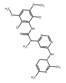 COc1cc(OC)c(Cl)c(NC(=O)N(C)c2cc(NN3CC=C(C)N=C3C)ncn2)c1Cl